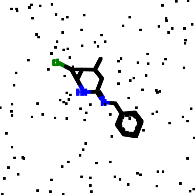 CC1C/C(=N\Cc2ccccc2)NC2C(Cl)C12